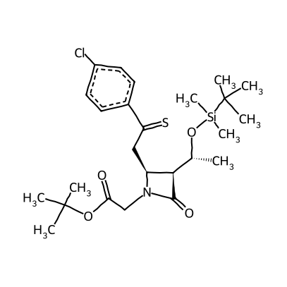 C[C@@H](O[Si](C)(C)C(C)(C)C)[C@H]1C(=O)N(CC(=O)OC(C)(C)C)[C@H]1CC(=S)c1ccc(Cl)cc1